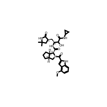 COc1cccc2[nH]c(C(=O)N3C[C@@H]4CCC[C@@H]4[C@H]3C(=O)N[C@@H](C[C@H]3CC(C)(C)NC3=O)C(O)C(=O)NC3CC3)cc12